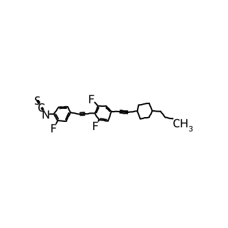 CCCCC1CCC(C#Cc2cc(F)c(C#Cc3ccc(N=C=S)c(F)c3)c(F)c2)CC1